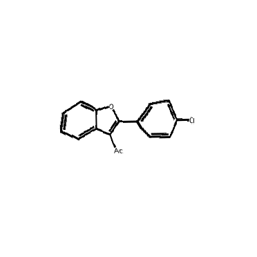 CC(=O)c1c(-c2ccc(Cl)cc2)oc2ccccc12